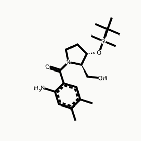 Cc1cc(N)c(C(=O)N2CC[C@H](O[Si](C)(C)C(C)(C)C)[C@H]2CO)cc1C